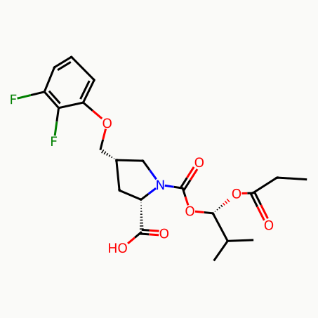 CCC(=O)O[C@@H](OC(=O)N1C[C@@H](COc2cccc(F)c2F)C[C@H]1C(=O)O)C(C)C